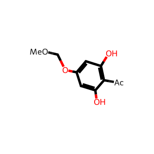 COCOc1cc(O)c(C(C)=O)c(O)c1